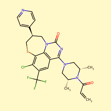 C=CC(=O)N1[C@H](C)CN(c2nc(=O)n3c4c(c(Cl)c(C(F)(F)F)cc24)SC[C@@H](c2ccncc2)C3)C[C@@H]1C